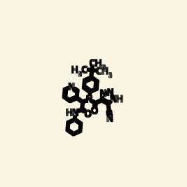 CC(C)(C)c1ccc(N(C(=O)c2nn[nH]c2C#N)C(C(=O)NC2CCCCC2)c2cccnc2)cc1